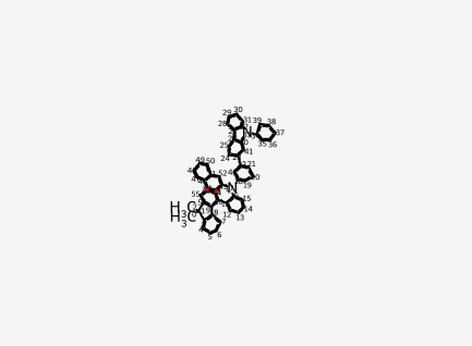 CC1(C)c2ccccc2-c2c(-c3ccccc3N(c3cccc(-c4ccc5c6ccccc6n(-c6ccccc6)c5c4)c3)c3ccc4ccccc4c3)cccc21